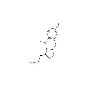 COc1ccc(F)cc1C[C@@H]1CC[C@@H](CCN)O1